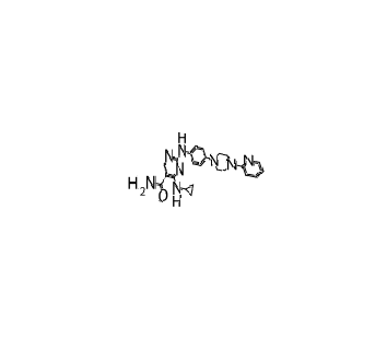 NC(=O)c1cnc(Nc2ccc(N3CCN(c4ccccn4)CC3)cc2)nc1NC1CC1